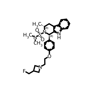 C[C@@H]1Cc2c([nH]c3ccccc23)[C@@H](c2ccc(OCCN3CC(CF)C3)cc2)N1S(=O)(=O)N(C)C